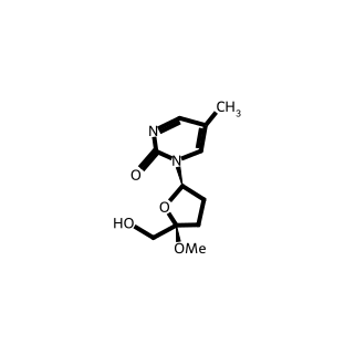 CO[C@]1(CO)CC[C@H](n2cc(C)cnc2=O)O1